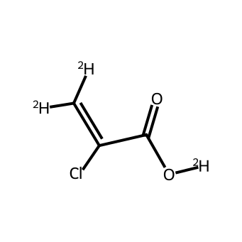 [2H]OC(=O)C(Cl)=C([2H])[2H]